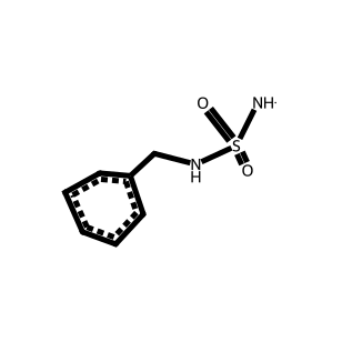 [NH]S(=O)(=O)NCc1ccccc1